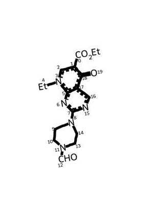 CCOC(=O)c1cn(CC)c2nc(N3CCN(C=O)CC3)ncc2c1=O